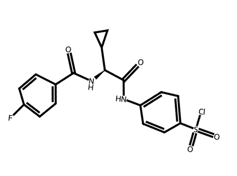 O=C(N[C@H](C(=O)Nc1ccc(S(=O)(=O)Cl)cc1)C1CC1)c1ccc(F)cc1